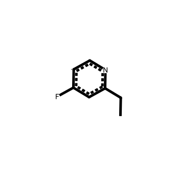 CCc1cc(F)[c]cn1